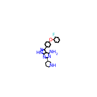 Nc1nc([C@@H]2CCCNC2)nc2[nH]nc(-c3ccc(Oc4ccccc4F)cc3)c12